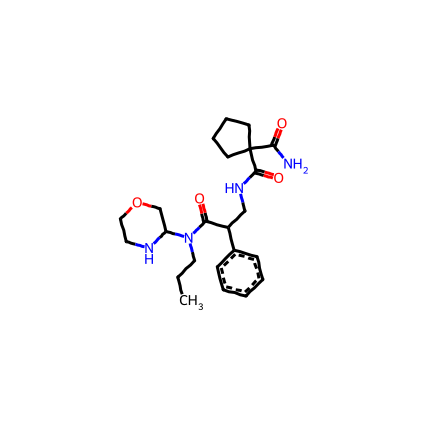 CCCN(C(=O)C(CNC(=O)C1(C(N)=O)CCCC1)c1ccccc1)C1COCCN1